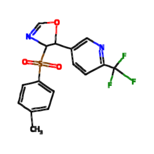 Cc1ccc(S(=O)(=O)C2N=COC2c2ccc(C(F)(F)F)nc2)cc1